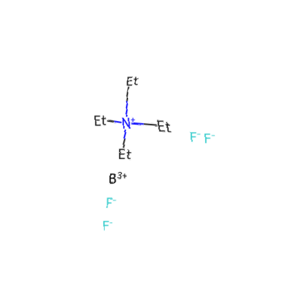 CC[N+](CC)(CC)CC.[B+3].[F-].[F-].[F-].[F-]